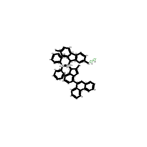 CC1=Cc2c(-c3cc4ccccc4c4ccccc34)cccc2[CH]1[Zr+2]([CH]1c2cc(C)ccc2-c2ccc(C)cc21)=[Si](c1ccccc1)c1ccccc1.[Cl-].[Cl-]